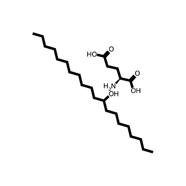 CCCCCCCCCCCC(O)CCCCCCCC.N[C@@H](CCC(=O)O)C(=O)O